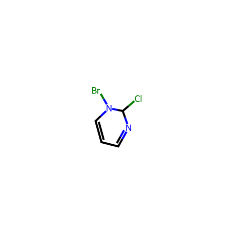 ClC1N=CC=CN1Br